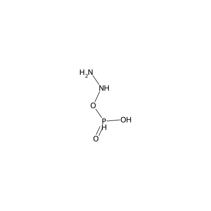 NNO[PH](=O)O